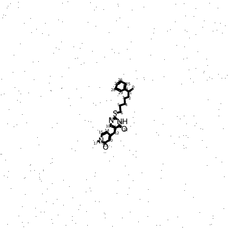 CC(CCCCCSc1ncc(Cc2ccn(C)c(=O)c2)c(=O)[nH]1)c1ccccc1